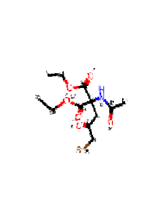 CCOC(=O)C(CC(=O)CBr)(NC(C)=O)C(=O)OCC